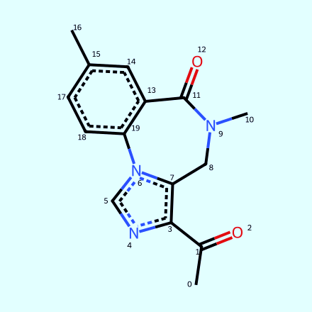 CC(=O)c1ncn2c1CN(C)C(=O)c1cc(C)ccc1-2